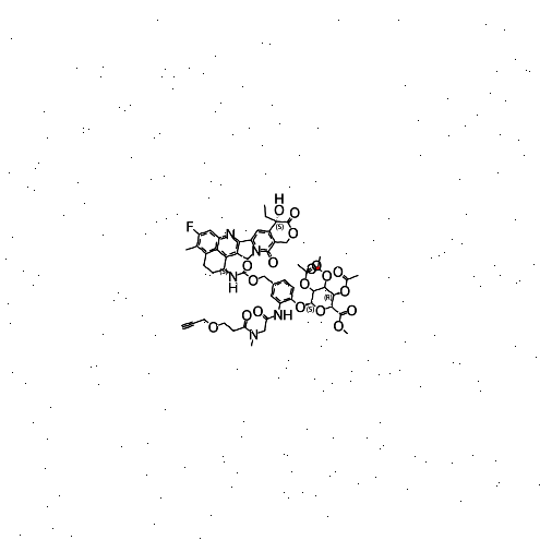 C#CCOCCC(=O)N(C)CC(=O)Nc1cc(COC(=O)N[C@H]2CCc3c(C)c(F)cc4nc5c(c2c34)Cn2c-5cc3c(c2=O)COC(=O)[C@]3(O)CC)ccc1O[C@@H]1OC(C(=O)OC)[C@H](OC(C)=O)C(OC(C)=O)C1OC(C)=O